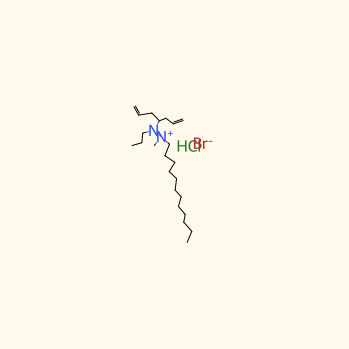 C=CCC(CC=C)N(CCC)[N+](C)(C)CCCCCCCCCCCC.Cl.[Br-]